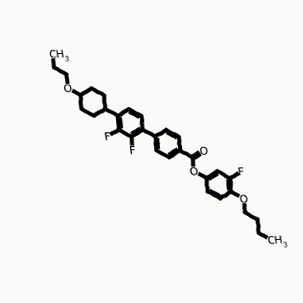 CCCCOc1ccc(OC(=O)c2ccc(-c3ccc(C4CCC(OCCC)CC4)c(F)c3F)cc2)cc1F